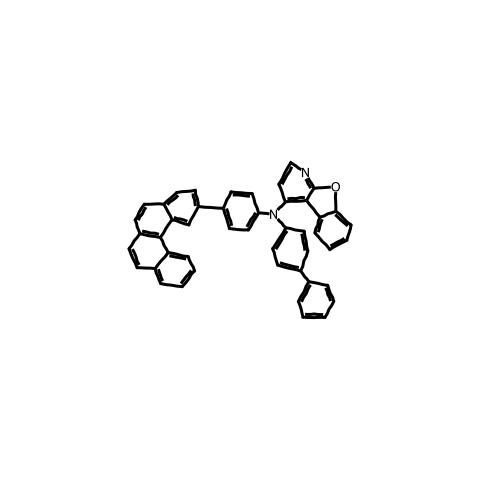 c1ccc(-c2ccc(N(c3ccc(-c4ccc5ccc6ccc7ccccc7c6c5c4)cc3)c3ccnc4oc5ccccc5c34)cc2)cc1